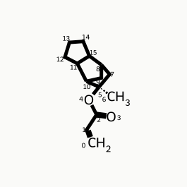 C=CC(=O)O[C@]1(C)CC2CC1C1CCCC21